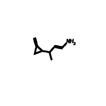 C=C1CC1C(C)/C=C/N